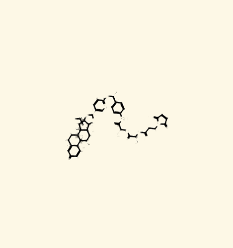 C[C@H](NC(=O)CCN1C(=O)C=CC1=O)C(=O)N[C@@H](C)C(=O)Nc1ccc([C@H](C)Nc2ccc([C@@H]3O[C@@H]4C[C@H]5[C@@H]6CCC7=CC(=O)C=C[C@]7(C)[C@@]6(F)[C@@H](O)C[C@]5(C)[C@]4(C(=O)CO)O3)cn2)cc1